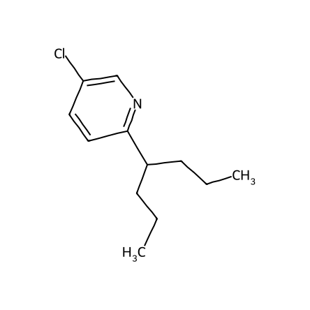 CCCC(CCC)c1ccc(Cl)cn1